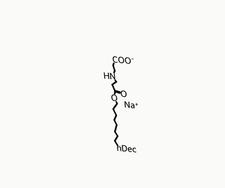 CCCCCCCCCCCCCCCCCCOC(=O)CCNCCC(=O)[O-].[Na+]